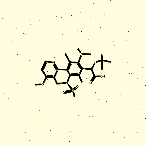 COc1ccnc2c1CN(S(C)(=O)=O)c1c(C)c(C(OC(C)(C)C)C(=O)O)c(N(C)C)c(C)c1-2